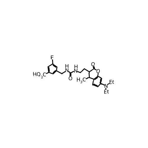 CCN(CC)c1ccc2c(c1)OC(=O)C(CCNC(=O)NCc1cc(F)cc(C(=O)O)c1)C2C